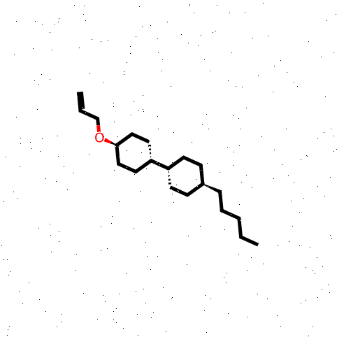 C=CCO[C@H]1CC[C@H]([C@H]2CC[C@H](CCCCC)CC2)CC1